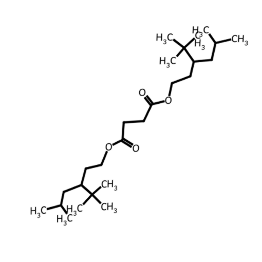 CC(C)CC(CCOC(=O)CCC(=O)OCCC(CC(C)C)C(C)(C)C)C(C)(C)C